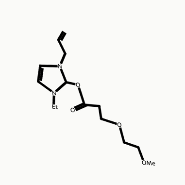 C=CCN1C=CN(CC)C1OC(=O)CCOCCOC